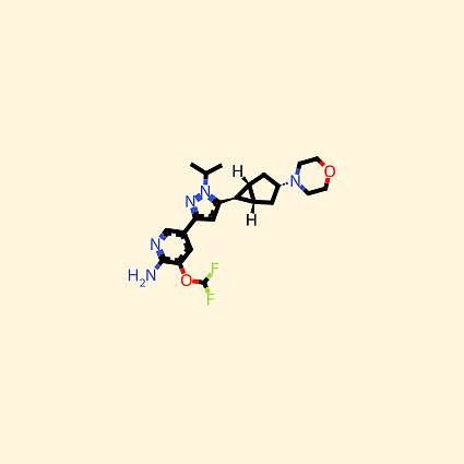 CC(C)n1nc(-c2cnc(N)c(OC(F)F)c2)cc1[C@H]1[C@@H]2C[C@H](N3CCOCC3)C[C@@H]21